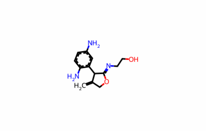 C=C1COC(=NCCO)C1c1cc(N)ccc1N